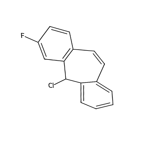 Fc1ccc2c(c1)C(Cl)c1ccccc1C=C2